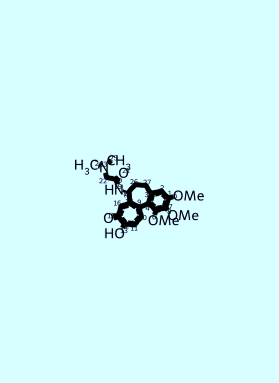 COc1cc2c(c(OC)c1OC)-c1ccc(O)c(=O)cc1[C@@H](NC(=O)CN(C)C)CC2